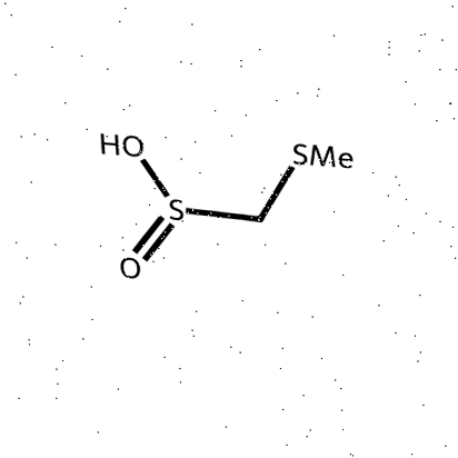 CSCS(=O)O